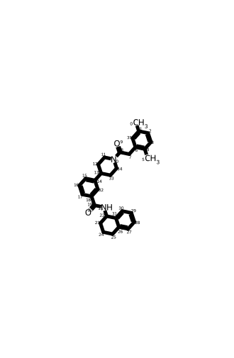 Cc1ccc(C)c(CC(=O)N2CCC(c3cccc(C(=O)NC4CCCc5ccccc54)c3)CC2)c1